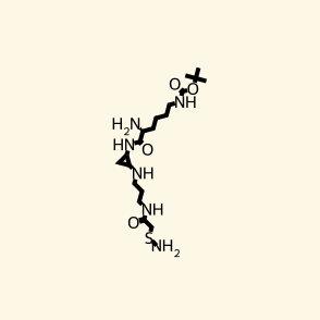 CC(C)(C)OC(=O)NCCCC[C@H](N)C(=O)NC1CC1NCCCNC(=O)CSN